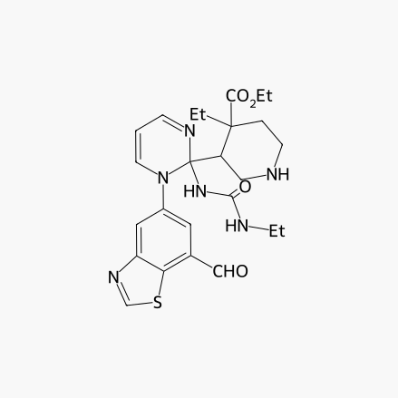 CCNC(=O)NC1(C2CNCCC2(CC)C(=O)OCC)N=CC=CN1c1cc(C=O)c2scnc2c1